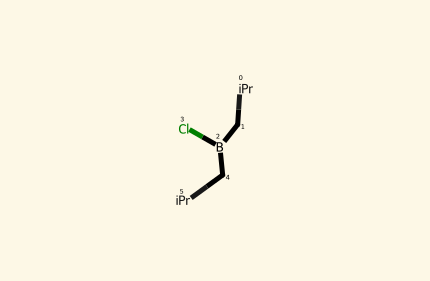 CC(C)CB(Cl)CC(C)C